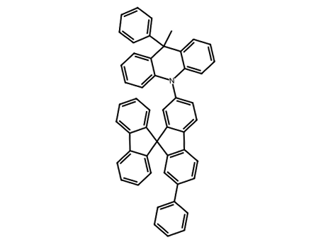 CC1(c2ccccc2)c2ccccc2N(c2ccc3c(c2)C2(c4ccccc4-c4ccccc42)c2cc(-c4ccccc4)ccc2-3)c2ccccc21